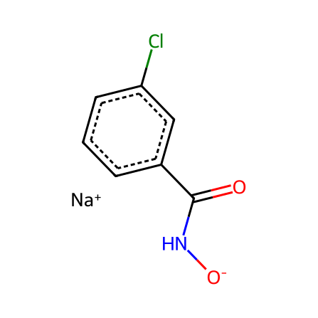 O=C(N[O-])c1cccc(Cl)c1.[Na+]